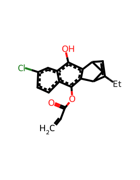 C=CC(=O)Oc1c2c(c(O)c3cc(Cl)ccc13)C1C=C(CC)C2C1